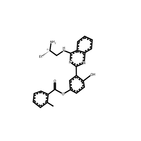 CC[C@H](N)CNc1nc(-c2cc(OC(=O)c3ccccc3C)ccc2O)nc2ccccc12